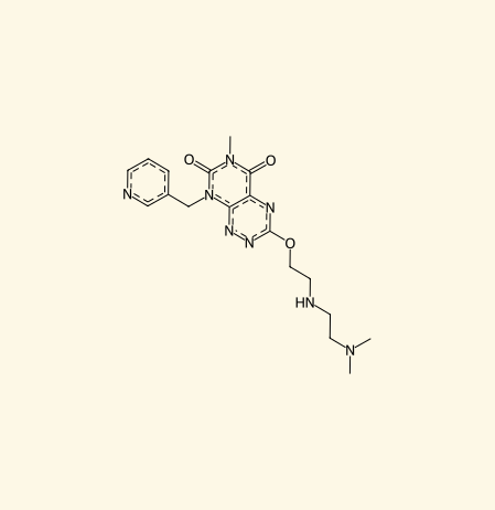 CN(C)CCNCCOc1nnc2c(n1)c(=O)n(C)c(=O)n2Cc1cccnc1